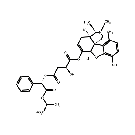 Cc1ccc(O)c2c1[C@]13CCN(C)[C@H](C)[C@]1(O)CC=C(OC(=O)[C@@H](O)CC(=O)O[C@H](C(=O)O[C@@H](C)C(=O)O)c1ccccc1)[C@@H]3O2